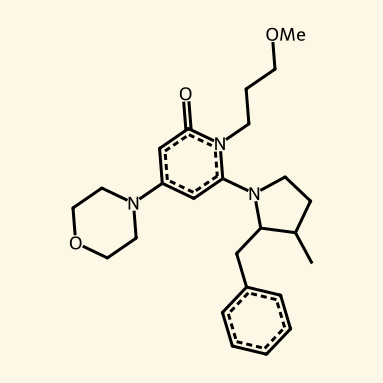 COCCCn1c(N2CCC(C)C2Cc2ccccc2)cc(N2CCOCC2)cc1=O